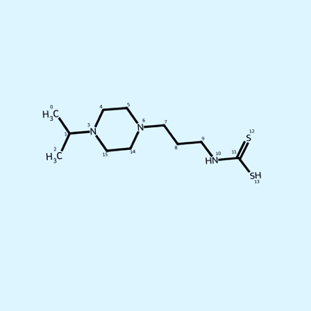 CC(C)N1CCN(CCCNC(=S)S)CC1